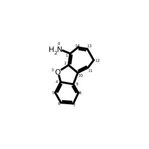 NC1=c2oc3ccccc3c2=CCC=C1